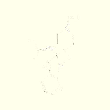 CC(C)(C)OC(=O)NC1(Cc2ccccc2)NCC12CCN(C(=O)O)CC2